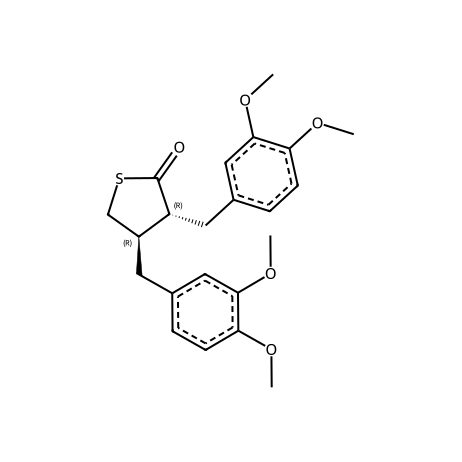 COc1ccc(C[C@H]2CSC(=O)[C@@H]2Cc2ccc(OC)c(OC)c2)cc1OC